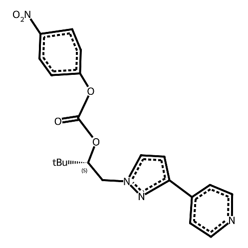 CC(C)(C)[C@@H](Cn1ccc(-c2ccncc2)n1)OC(=O)Oc1ccc([N+](=O)[O-])cc1